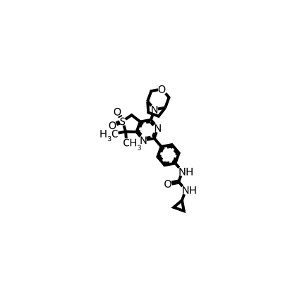 CC1(C)c2nc(-c3ccc(NC(=O)NC4CC4)cc3)nc(N3C4CCC3COC4)c2CS1(=O)=O